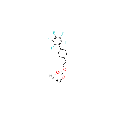 CO[SiH](OC)OCCC1CCC(c2c(F)c(F)c(F)c(F)c2F)CC1